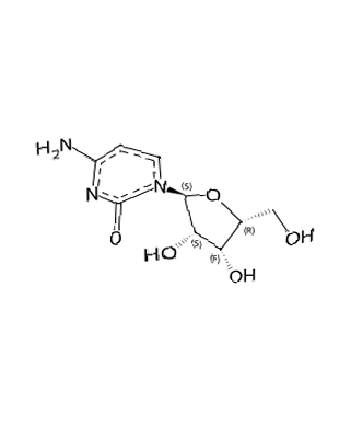 Nc1ccn([C@H]2O[C@H](CO)[C@H](O)[C@@H]2O)c(=O)n1